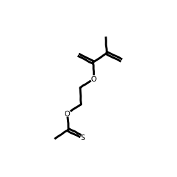 C=C(C)C(=C)OCCOC(C)=S